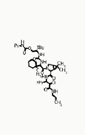 C=CCNC(=O)C(=O)C(CCC)NC(=O)[C@@H]1C2C(CN1C(=O)[C@@H](NC(=O)N[C@H](COC(=O)NC(C)C)C(C)(C)C)C1(C)CCCCC1)C2(C)C